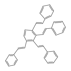 C(=C\c1ccc(/C=C/c2ccccc2)c(/C=C/c2ccccc2)c1/C=C/c1ccccc1)/c1ccccc1